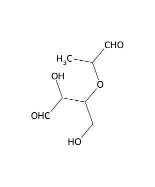 CC(C=O)OC(CO)C(O)C=O